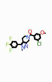 COc1cc(Cl)cc(C(=O)N2CCc3c(nn(C)c3-c3cc(F)c(F)c(F)c3)C2)c1